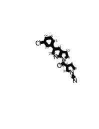 N#CN1CCC(C(=O)N2CCc3cc(-c4cccc(Cl)c4)cnc32)C1